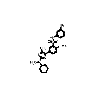 COc1ccc(-c2sc(N(C)C3CCCCC3)nc2C)cc1S(=O)(=O)Nc1cccc(C(C)C)c1